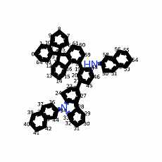 c1ccc(C2(c3ccccc3)c3ccccc3-c3c(-c4cc(-c5ccc6c(c5)c5ccccc5n6-c5ccc6ccccc6c5)ccc4Nc4ccc5ccccc5c4)cccc32)cc1